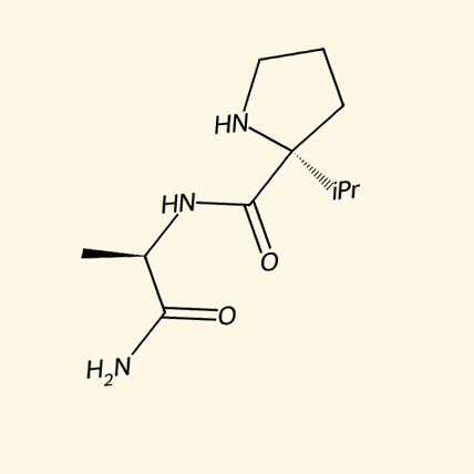 CC(C)[C@@]1(C(=O)N[C@H](C)C(N)=O)CCCN1